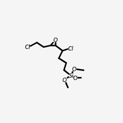 CO[Si](CCCC(Cl)C1OC1CCCl)(OC)OC